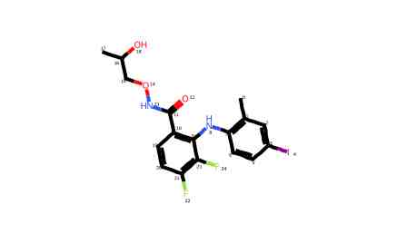 Cc1cc(I)ccc1Nc1c(C(=O)NOCC(C)O)ccc(F)c1F